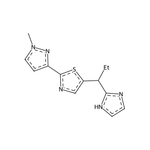 CCC(c1ncc[nH]1)c1cnc(-c2ccn(C)n2)s1